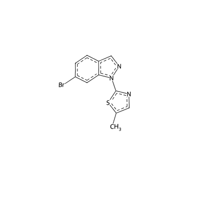 Cc1cnc(-n2ncc3ccc(Br)cc32)s1